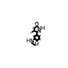 CC1CC(=O)NN=C1c1ccc2c(c1)NCCO2